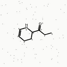 CCC(=O)C1CCC=CN1